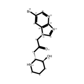 O=C(C[C@H]1NCCC[C@@H]1O)Cn1cnc2ncc(Br)cc21